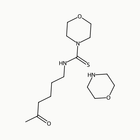 C1COCCN1.CC(=O)CCCCNC(=S)N1CCOCC1